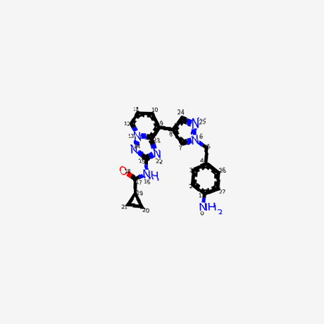 Nc1ccc(Cn2cc(-c3cccn4nc(NC(=O)C5CC5)nc34)cn2)cc1